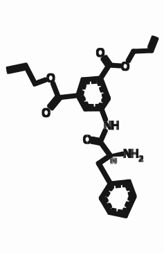 C=CCOC(=O)c1cc(NC(=O)[C@@H](N)Cc2ccccc2)cc(C(=O)OCC=C)c1